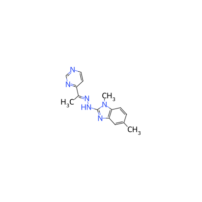 C/C(=N\Nc1nc2cc(C)ccc2n1C)c1ccncn1